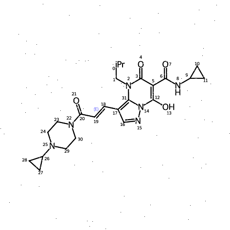 CC(C)Cn1c(=O)c(C(=O)NC2CC2)c(O)n2ncc(/C=C/C(=O)N3CCN(C4CC4)CC3)c12